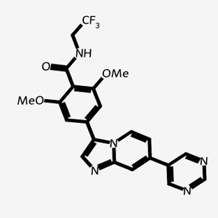 COc1cc(-c2cnc3cc(-c4cncnc4)ccn23)cc(OC)c1C(=O)NCC(F)(F)F